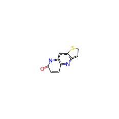 O=C1C=Cc2nc3c(cc2=N1)SCC=3